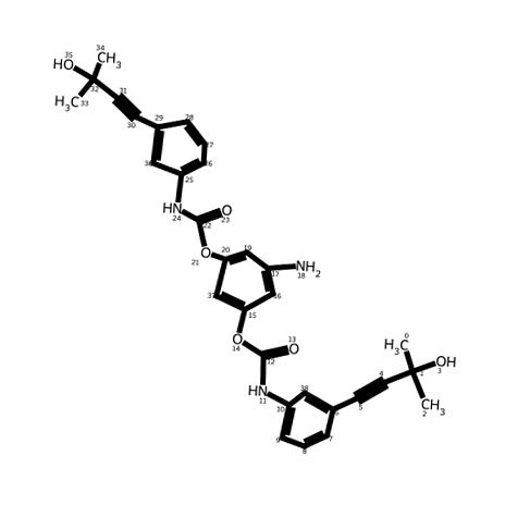 CC(C)(O)C#Cc1cccc(NC(=O)Oc2cc(N)cc(OC(=O)Nc3cccc(C#CC(C)(C)O)c3)c2)c1